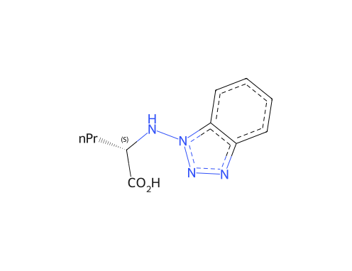 CCC[C@H](Nn1nnc2ccccc21)C(=O)O